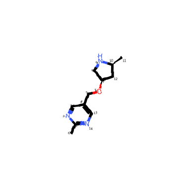 Cc1ncc(CO[C@H]2CN[C@@H](C)C2)cn1